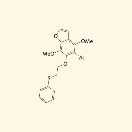 COc1c(C(C)=O)c(OCCSc2ccccc2)c(OC)c2occc12